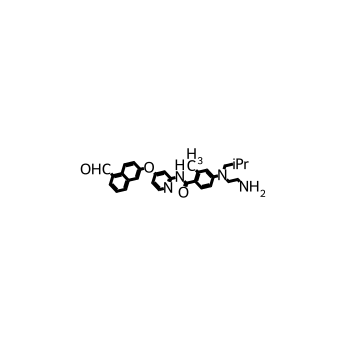 Cc1cc(N(CCN)CC(C)C)ccc1C(=O)Nc1cc(Oc2ccc3c(C=O)cccc3c2)ccn1